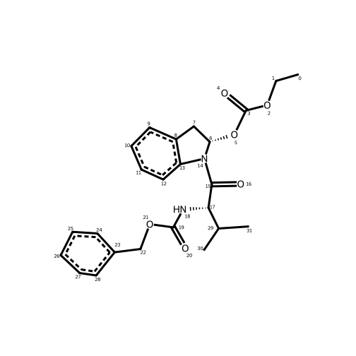 CCOC(=O)O[C@H]1Cc2ccccc2N1C(=O)[C@@H](NC(=O)OCc1ccccc1)C(C)C